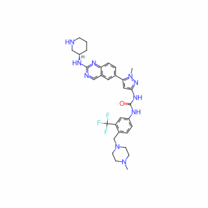 CN1CCN(Cc2ccc(NC(=O)Nc3cc(-c4ccc5nc(N[C@@H]6CCCNC6)ncc5c4)n(C)n3)cc2C(F)(F)F)CC1